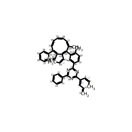 C=C/C=C(\C=C/C)c1nc(-c2ccccc2)nc(-c2ccc(C)c(-c3c(C)cccccc(-c4ccccn4)c(C=C)c3/C=C\C)c2)n1